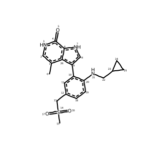 Cc1c[nH]c(=O)c2[nH]cc(-c3cc(CS(C)(=O)=O)ccc3NCC3CC3)c12